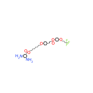 Nc1cc(N)cc(C(=O)OCCCCCCCCOc2ccc(/C=C/C(=O)Oc3ccc(OCCCC(F)(F)F)cc3)cc2)c1